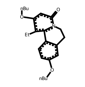 CCCCOc1ccc2c(c1)CCn1c-2c(CC)c(OCCCC)cc1=O